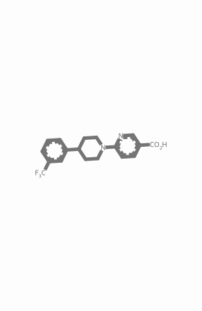 O=C(O)c1ccc(N2CCC(c3cccc(C(F)(F)F)c3)CC2)nc1